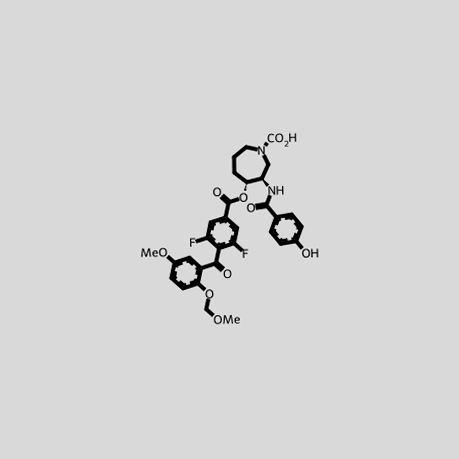 COCOc1ccc(OC)cc1C(=O)c1c(F)cc(C(=O)O[C@@H]2CCCN(C(=O)O)C[C@H]2NC(=O)c2ccc(O)cc2)cc1F